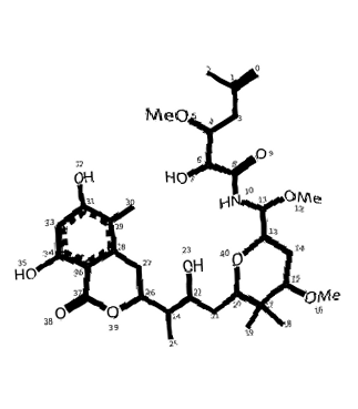 C=C(C)CC(OC)C(O)C(=O)NC(OC)C1CC(OC)C(C)(C)C(CC(O)C(C)C2Cc3c(C)c(O)cc(O)c3C(=O)O2)O1